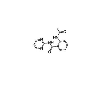 CC(=O)Nc1ccccc1C(=O)Nc1ncccn1